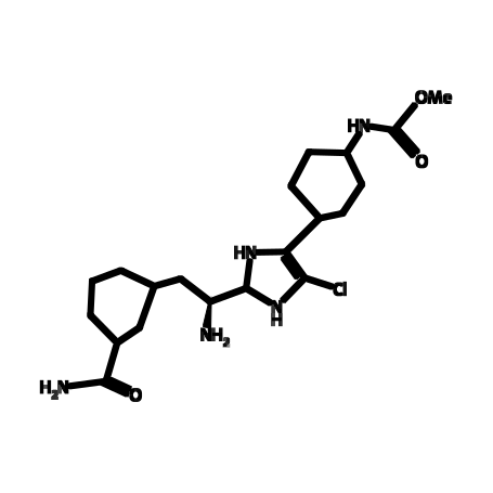 COC(=O)NC1CCC(C2=C(Cl)NC([C@@H](N)CC3CCCC(C(N)=O)C3)N2)CC1